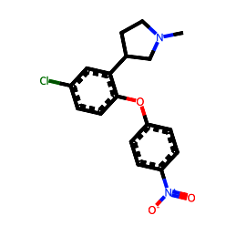 CN1CCC(c2cc(Cl)ccc2Oc2ccc([N+](=O)[O-])cc2)C1